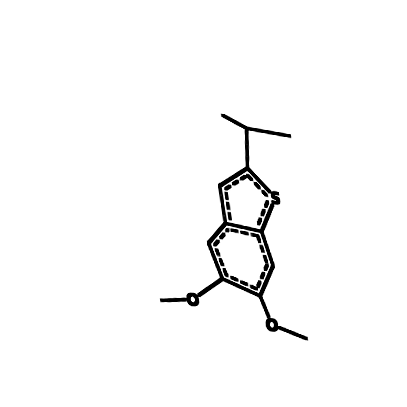 COc1cc2cc(C(C)C)sc2cc1OC